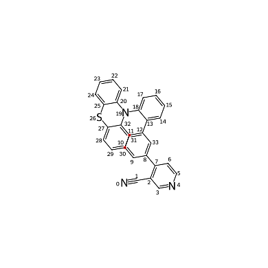 N#Cc1cnccc1-c1cccc(-c2ccccc2N2c3ccccc3Sc3ccccc32)c1